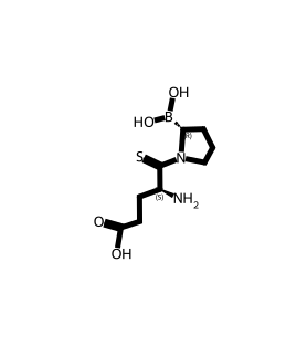 N[C@@H](CCC(=O)O)C(=S)N1CCC[C@H]1B(O)O